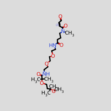 COC(C)(C)CCOC(C)(C)C(=O)NCCOCCOCCNC(=O)CCCN(C)C(=O)/C=C\C=O